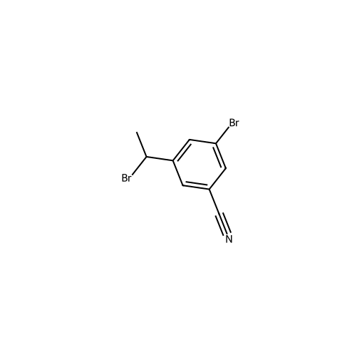 CC(Br)c1cc(Br)cc(C#N)c1